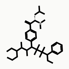 C=C(c1ccc(C(C(C)C(C)C(CC)CCC)C(C)(C)C(C)(C)C(CC)c2ccccc2)cc1)[C@H](CC(C)C)N(C)C